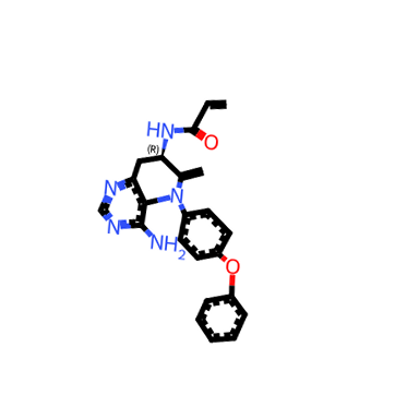 C=CC(=O)N[C@@H]1Cc2ncnc(N)c2N(c2ccc(Oc3ccccc3)cc2)C1=C